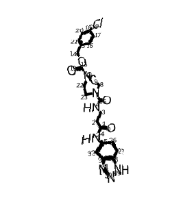 O=C(CCNC(=O)N1CCN(C(=O)OCc2ccc(Cl)cc2)CC1)Nc1ccc2[nH]nnc2c1